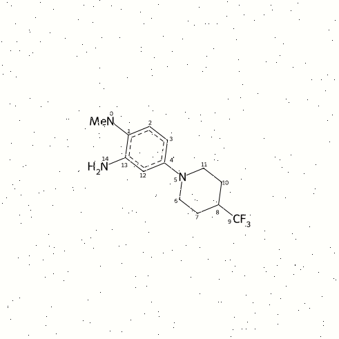 CNc1ccc(N2CCC(C(F)(F)F)CC2)cc1N